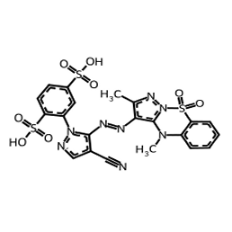 Cc1nn2c(c1/N=N/c1c(C#N)cnn1-c1cc(S(=O)(=O)O)ccc1S(=O)(=O)O)N(C)c1ccccc1S2(=O)=O